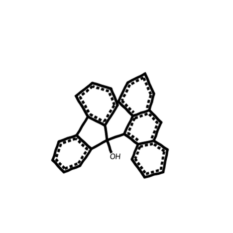 OC1(c2c3ccccc3cc3ccccc23)c2ccccc2-c2ccccc21